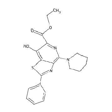 CCOC(=O)c1nc(N2CCCCC2)c2nc(-c3ccccc3)sc2c1O